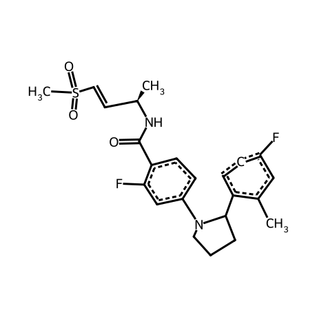 Cc1cc(F)ccc1C1CCCN1c1ccc(C(=O)N[C@H](C)/C=C/S(C)(=O)=O)c(F)c1